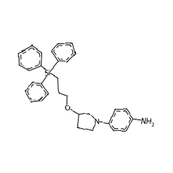 Nc1ccc(N2CCC(OCCC[Si](c3ccccc3)(c3ccccc3)c3ccccc3)C2)cc1